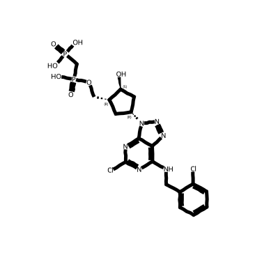 O=P(O)(O)CP(=O)(O)OC[C@H]1C[C@@H](n2nnc3c(NCc4ccccc4Cl)nc(Cl)nc32)C[C@@H]1O